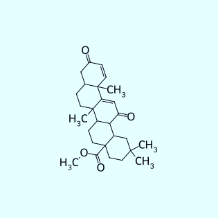 COC(=O)C12CCC3C(C(=O)C=C4C5(C)C=CC(=O)CC5CCC43C)C1CC(C)(C)CC2